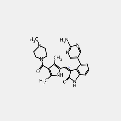 Cc1[nH]c(/C=C2\C(=O)Nc3cccc(-c4cnc(N)nc4)c32)c(C)c1C(=O)N1CCN(C)CC1